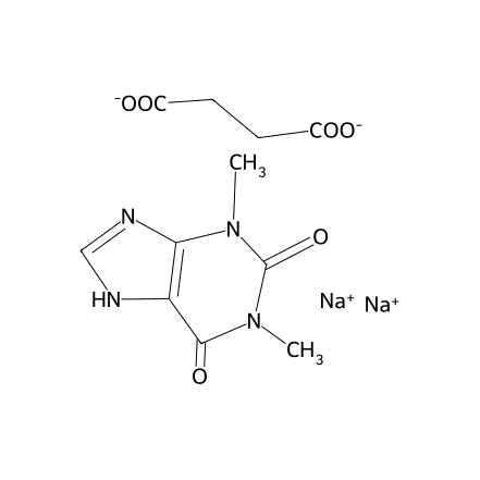 Cn1c(=O)c2[nH]cnc2n(C)c1=O.O=C([O-])CCC(=O)[O-].[Na+].[Na+]